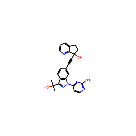 CC(C)(O)c1nn(-c2ccnc(N)n2)c2cc(C#CC3(O)CCc4cccnc43)ccc12